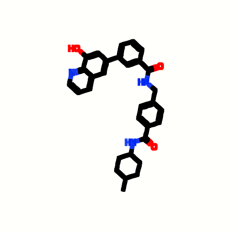 CC1CCC(NC(=O)c2ccc(CNC(=O)c3cccc(-c4cc(O)c5ncccc5c4)c3)cc2)CC1